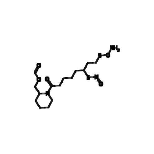 NOSCCC(CCCCC(=O)N1CCCCC1COC=O)SN=O